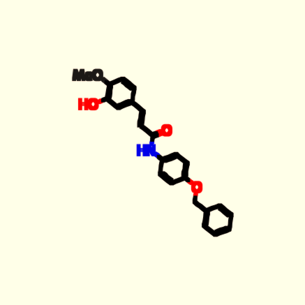 COc1ccc(/C=C/C(=O)Nc2ccc(OCc3ccccc3)cc2)cc1O